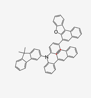 CC1(C)c2ccccc2-c2cc(N(c3ccc(-c4cc5ccccc5c5c4oc4ccccc45)cc3)c3ccccc3-c3ccc4ccccc4c3)ccc21